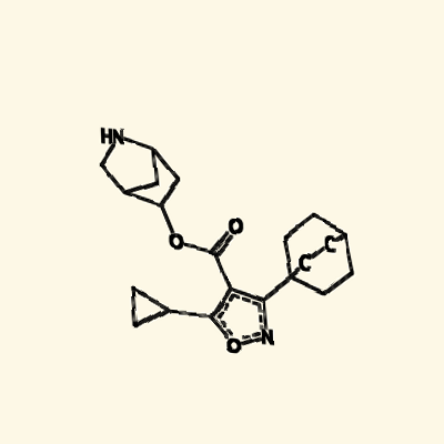 O=C(OC1CC2CC1CN2)c1c(C23CCC(CC2)CC3)noc1C1CC1